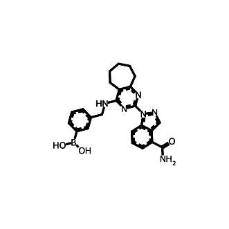 NC(=O)c1cccc2c1cnn2-c1nc2c(c(NCc3cccc(B(O)O)c3)n1)CCCCC2